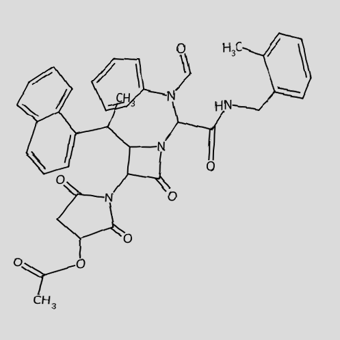 CC(=O)OC1CC(=O)N(C2C(=O)N(C(C(=O)NCc3ccccc3C)N(C=O)c3ccccc3)C2C(C)c2cccc3ccccc23)C1=O